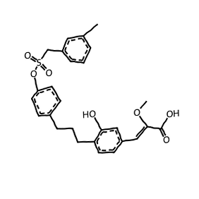 CO/C(=C\c1ccc(CCCc2ccc(OS(=O)(=O)Cc3cccc(C)c3)cc2)c(O)c1)C(=O)O